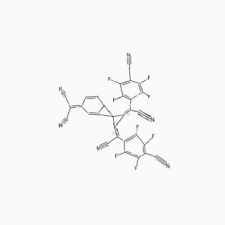 N#CC(C#N)=C1C=CC2C(=C1)C21C(=C(/C#N)c2c(F)c(F)c(C#N)c(F)c2F)/C1=C(/C#N)c1c(F)c(F)c(C#N)c(F)c1F